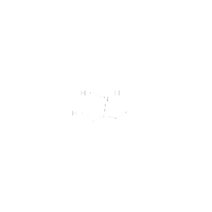 C[CH2][In]([CH2]C)[N](C)C